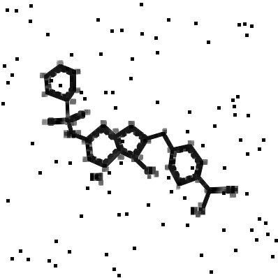 Cl.Cn1c(Cc2ccc(C(=N)N)cc2)cc2cc(NS(=O)(=O)c3ccccc3)ccc21